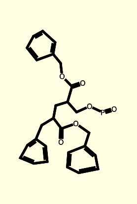 O=POCC(CC(Cc1ccccc1)C(=O)OCc1ccccc1)C(=O)OCc1ccccc1